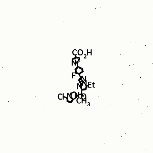 CCc1cc(C(=O)N2CCn3c(Cl)ccc3C2C)nc2cc(-c3ccc(-c4ccc(C(=O)O)cn4)cc3F)nn12